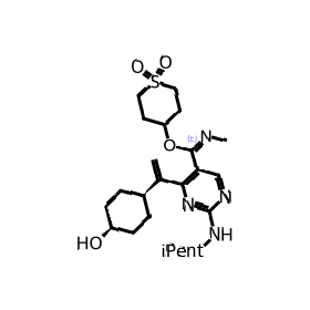 C=C(c1nc(NC(C)CCC)ncc1/C(=N\C)OC1CCS(=O)(=O)CC1)[C@H]1CC[C@@H](O)CC1